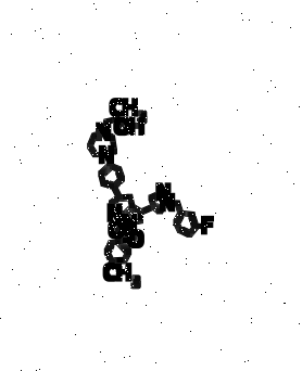 Cc1ccc(S(=O)(=O)n2cc(-c3cnn(Cc4cccc(F)c4)c3)c3cc(-c4ccc(N5CCCN(CC(C)O)CC5)cc4)cnc32)cc1